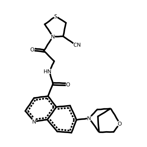 N#CC1CSCN1C(=O)CNC(=O)c1ccnc2ccc(N3CC4CC3CO4)cc12